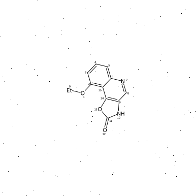 CCOc1cccc2ncc3[nH]c(=O)oc3c12